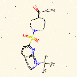 COC(=O)C1CCN(S(=O)(=O)c2ccc3ccn([Si](C(C)C)(C(C)C)C(C)C)c3n2)CC1